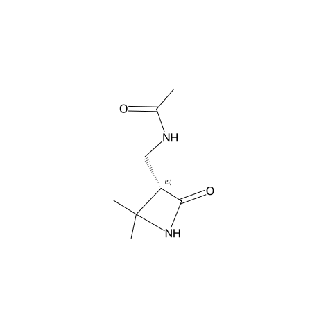 CC(=O)NC[C@@H]1C(=O)NC1(C)C